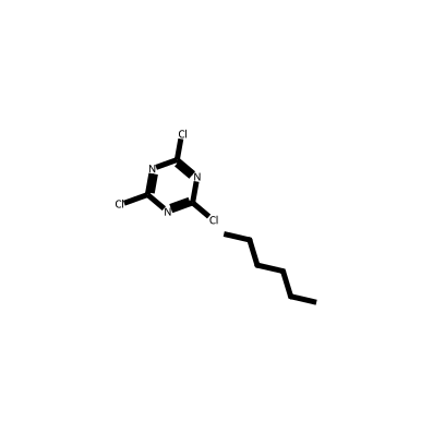 CCCCCC.Clc1nc(Cl)nc(Cl)n1